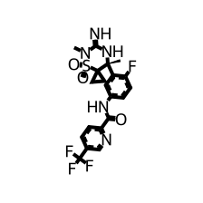 CN1C(=N)N[C@](C)(c2cc(NC(=O)c3ccc(C(F)(F)F)cn3)ccc2F)C2(CC2)S1(=O)=O